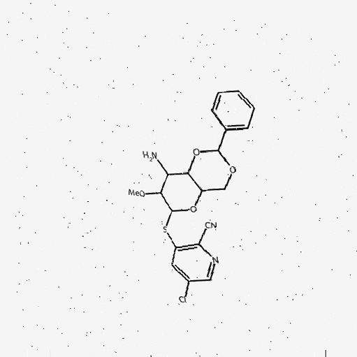 COC1C(Sc2cc(Cl)cnc2C#N)OC2COC(c3ccccc3)OC2C1N